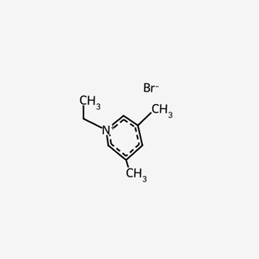 CC[n+]1cc(C)cc(C)c1.[Br-]